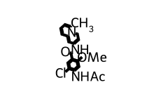 COc1cc(NC(C)=O)c(Cl)cc1C(=O)NC1=CCN2C(C)=CC=CC2=C1